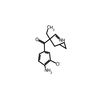 CCC(C=N)(CC1CC1)C(=O)c1ccc(N)c(Cl)c1